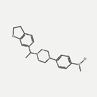 CC(c1ccc2c(c1)OCC2)N1CCN(c2ccc([S+](C)[O-])cc2)CC1